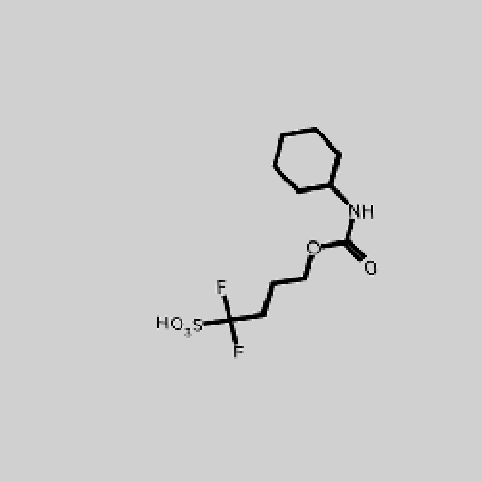 O=C(NC1CCCCC1)OCCCC(F)(F)S(=O)(=O)O